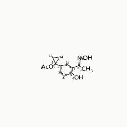 CC(=O)OC1(c2ccc(O)c(/C(C)=N/O)c2)CC1